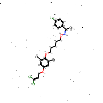 CCc1cc(OCC=C(Cl)Cl)cc(CC)c1OCCCCCON=C(C)c1ccc(Cl)cc1